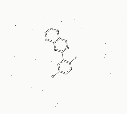 Fc1ccc(Cl)cc1-c1ncc2nccnc2n1